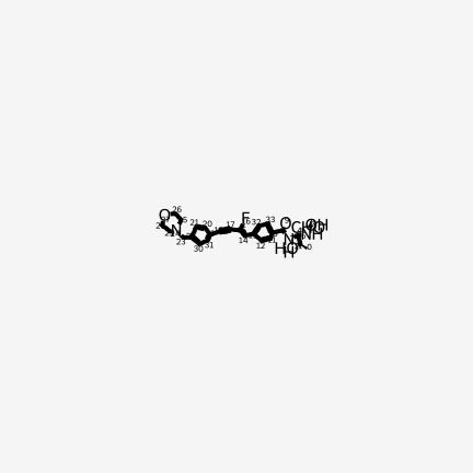 C[C@@H](O)[C@@](C=O)(NO)NC(=O)c1ccc(C=C(F)C#Cc2ccc(CN3CCOCC3)cc2)cc1